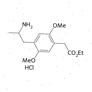 CCOC(=O)Cc1cc(OC)c(CC(C)N)cc1OC.Cl